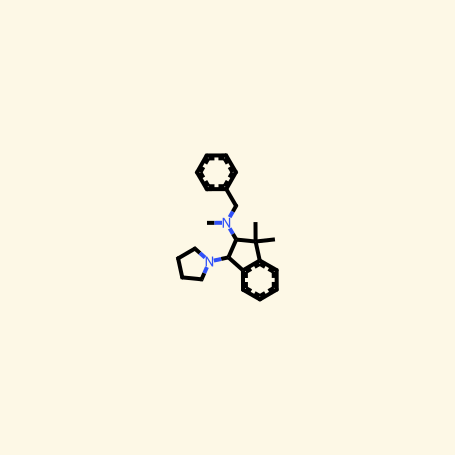 CN(Cc1ccccc1)C1C(N2CCCC2)c2ccccc2C1(C)C